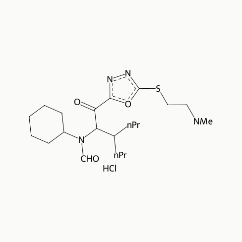 CCCC(CCC)C(C(=O)c1nnc(SCCNC)o1)N(C=O)C1CCCCC1.Cl